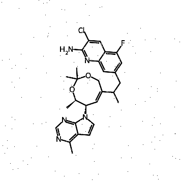 Cc1ncnc2c1ccn2[C@@H]1/C=C(/C(C)Cc2cc(F)c3cc(Cl)c(N)nc3c2)COC(C)(C)O[C@@H]1C